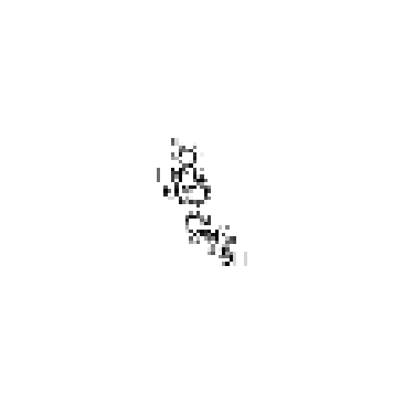 Cc1ccc2c(c1)NC(=O)c1cc(-c3cccc(N4CC[C@@H](O)C4)n3)ccc1O2